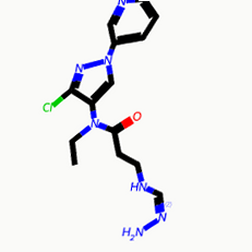 CCN(C(=O)CCN/C=N\N)c1cn(-c2cccnc2)nc1Cl